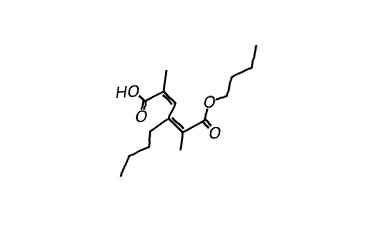 CCCCOC(=O)C(C)=C(C=C(C)C(=O)O)CCCC